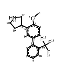 COc1ccc(-c2ccccc2C(F)(F)F)cc1C1CCNC1